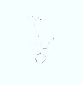 CCCCC(CCCCCCCC(N)N)C1=CC=CC=CN1.[LiH]